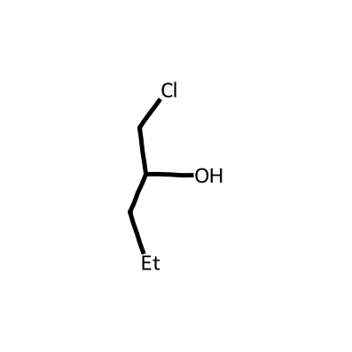 [CH2]CCC(O)CCl